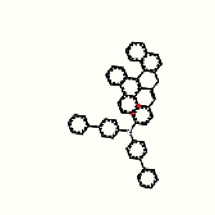 C(=C1\Cc2ccc3ccccc3c2-c2c1c1ccccc1c1ccccc21)/c1ccc(N(c2ccc(-c3ccccc3)cc2)c2ccc(-c3ccccc3)cc2)cc1